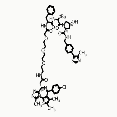 Cc1ncsc1-c1ccc(CNC(=O)[C@@H]2C[C@@H](O)CN2C(=O)C(NC(=O)C(Cc2ccccc2)NC(=O)COCCOCCOCCNC(=O)C[C@@H]2N=C(c3ccc(Cl)cc3)c3c(sc(C)c3C)-n3c(C)nnc32)C(C)(C)C)cc1